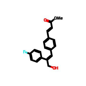 COC(=O)C=Cc1ccc(/C=C(/CO)c2ccc(F)cc2)cc1